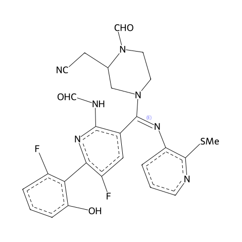 CSc1ncccc1/N=C(\c1cc(F)c(-c2c(O)cccc2F)nc1NC=O)N1CCN(C=O)C(CC#N)C1